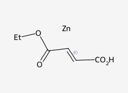 CCOC(=O)/C=C/C(=O)O.[Zn]